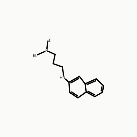 CCN(CC)CCCNc1ccc2ccccc2c1